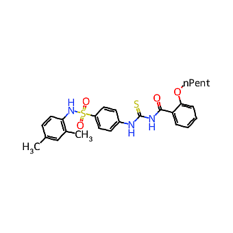 CCCCCOc1ccccc1C(=O)NC(=S)Nc1ccc(S(=O)(=O)Nc2ccc(C)cc2C)cc1